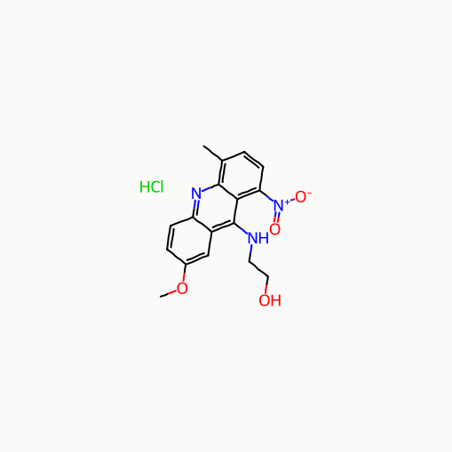 COc1ccc2nc3c(C)ccc([N+](=O)[O-])c3c(NCCO)c2c1.Cl